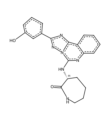 O=C1NCCCC[C@H]1Nc1nc2ccccc2c2nc(-c3cccc(O)c3)nn12